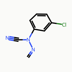 C=NN(C#N)c1cccc(Cl)c1